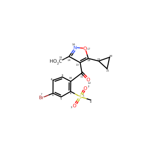 CS(=O)(=O)c1cc(Br)ccc1C(=O)c1c(C(=O)O)noc1C1CC1